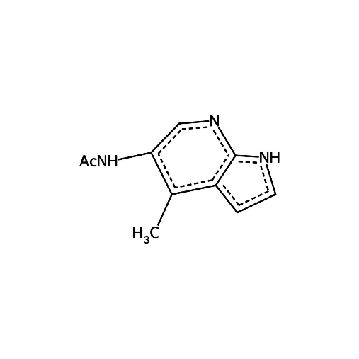 CC(=O)Nc1cnc2[nH]ccc2c1C